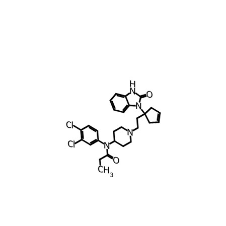 CCC(=O)N(c1ccc(Cl)c(Cl)c1)C1CCN(CCC2(n3c(=O)[nH]c4ccccc43)CC=CC2)CC1